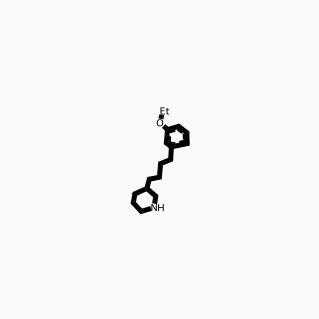 CCOc1cccc(CCCCC2[CH]CCNC2)c1